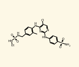 CCNS(=O)(=O)NCc1ccc(Nc2nc(Nc3ccc(S(N)(=O)=O)cc3)ncc2Cl)c(C)c1